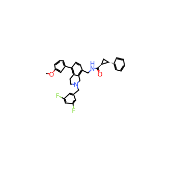 COc1cccc(-c2ccc(CNC(=O)[C@H]3C[C@@H]3c3ccccc3)c3c2CCN(Cc2cc(F)cc(F)c2)C3)c1